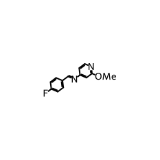 COc1cc(/N=C/c2ccc(F)cc2)ccn1